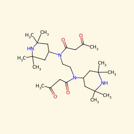 CC(=O)CC(=O)N(CCN(C(=O)CC(C)=O)C1CC(C)(C)NC(C)(C)C1)C1CC(C)(C)NC(C)(C)C1